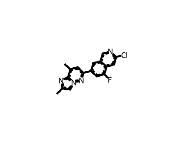 Cc1cn2nc(-c3cc(F)c4cc(Cl)ncc4c3)cc(C)c2n1